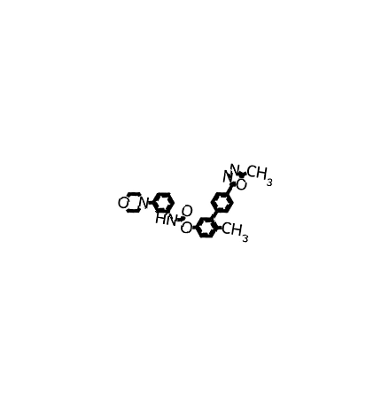 Cc1nnc(-c2ccc(-c3cc(OC(=O)Nc4cccc(N5CCOCC5)c4)ccc3C)cc2)o1